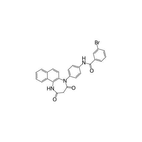 O=C1CC(=O)N(c2ccc(NC(=O)c3cccc(Br)c3)cc2)c2ccc3ccccc3c2N1